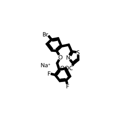 O=C([O-])c1csc(Cc2cc(Br)ccc2OCc2ccc(F)cc2F)n1.[Na+]